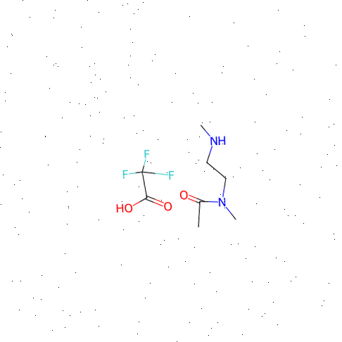 CNCCN(C)C(C)=O.O=C(O)C(F)(F)F